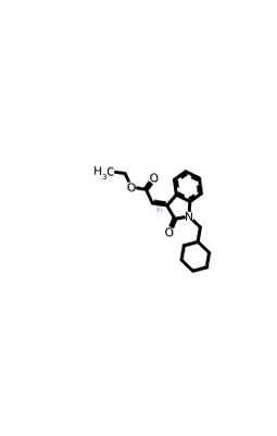 CCOC(=O)/C=C1/C(=O)N(CC2CCCCC2)c2ccccc21